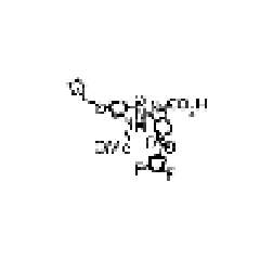 COCCNc1cc(OCCN2CCCC2)ccc1C(=O)Nc1nn(C(=O)O)c2c1CN(S(=O)(=O)c1cc(F)cc(F)c1)CC2